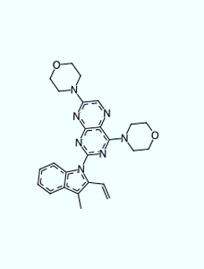 C=Cc1c(C)c2ccccc2n1-c1nc(N2CCOCC2)c2ncc(N3CCOCC3)nc2n1